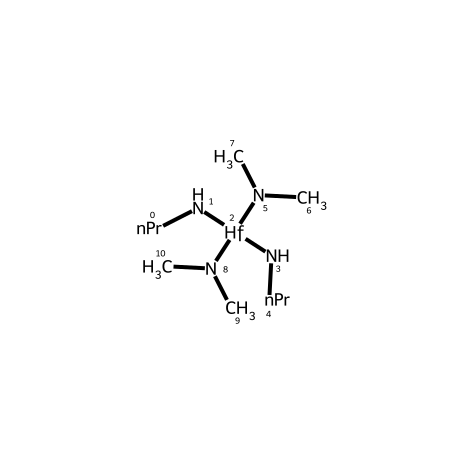 CCC[NH][Hf]([NH]CCC)([N](C)C)[N](C)C